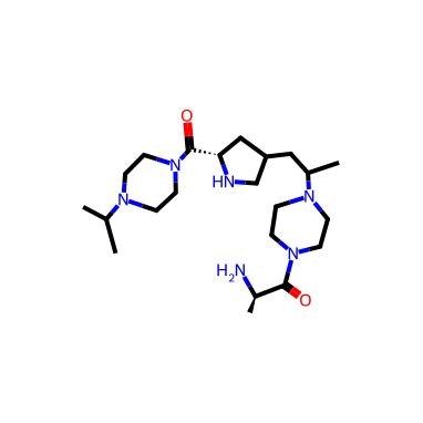 CC(C)N1CCN(C(=O)[C@@H]2CC(CC(C)N3CCN(C(=O)[C@@H](C)N)CC3)CN2)CC1